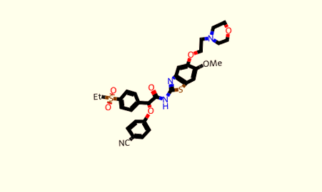 CCS(=O)(=O)c1ccc(C(Oc2ccc(C#N)cc2)C(=O)Nc2nc3cc(OCCN4CCOCC4)c(OC)cc3s2)cc1